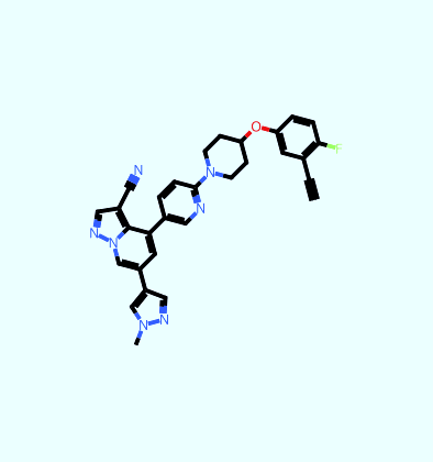 C#Cc1cc(OC2CCN(c3ccc(-c4cc(-c5cnn(C)c5)cn5ncc(C#N)c45)cn3)CC2)ccc1F